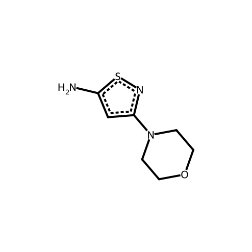 Nc1cc(N2CCOCC2)ns1